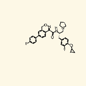 O=C(N[C@@H](Cc1ccc(OC2CC2)c(F)c1)CN1CCCC1)C1=NOCc2cc(-c3ccc(F)cc3)ccc21